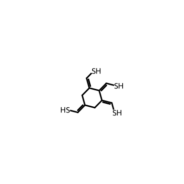 SC=C1CC(=CS)C(=CS)C(=CS)C1